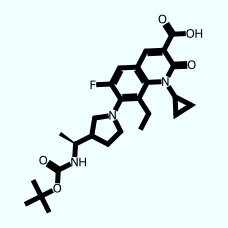 CCc1c(N2CCC([C@H](C)NC(=O)OC(C)(C)C)C2)c(F)cc2cc(C(=O)O)c(=O)n(C3CC3)c12